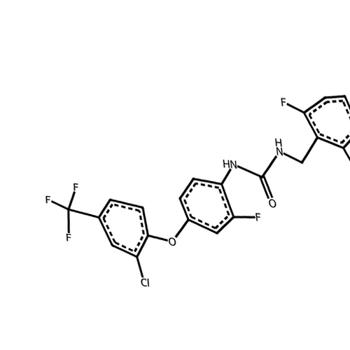 O=C(NCc1c(F)cccc1F)Nc1ccc(Oc2ccc(C(F)(F)F)cc2Cl)cc1F